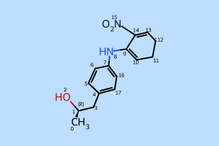 C[C@@H](O)Cc1ccc(NC2=CC[CH]C=C2[N+](=O)[O-])cc1